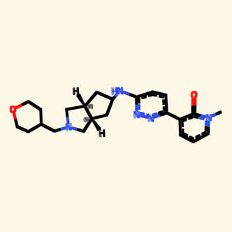 Cn1cccc(-c2ccc(NC3C[C@@H]4CN(CC5CCOCC5)C[C@@H]4C3)nn2)c1=O